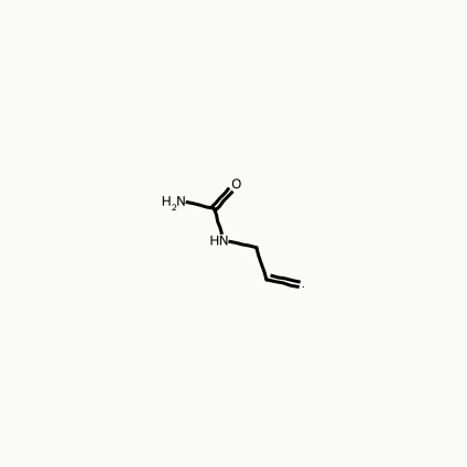 [CH]=CCNC(N)=O